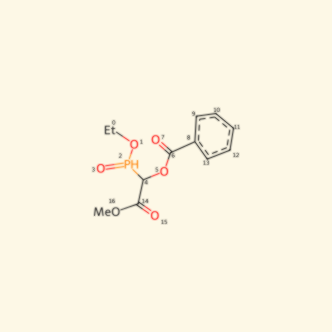 CCO[PH](=O)C(OC(=O)c1ccccc1)C(=O)OC